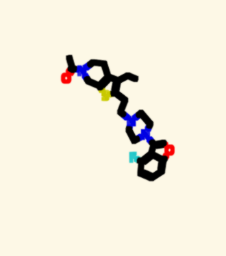 CCc1c(CCN2CCN(c3coc4cccc(F)c34)CC2)sc2c1CCN(C(C)=O)C2